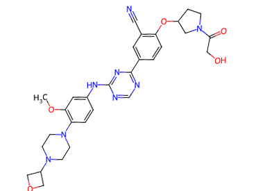 COc1cc(Nc2ncnc(-c3ccc(OC4CCN(C(=O)CO)C4)c(C#N)c3)n2)ccc1N1CCN(C2COC2)CC1